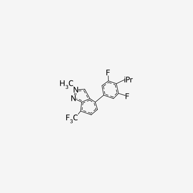 CC(C)c1c(F)cc(-c2ccc(C(F)(F)F)c3nn(C)cc23)cc1F